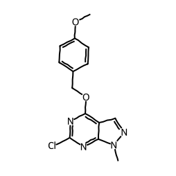 COc1ccc(COc2nc(Cl)nc3c2cnn3C)cc1